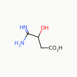 N=C(N)C(O)CC(=O)O